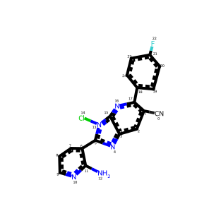 N#Cc1cc2nc(-c3cccnc3N)n(Cl)c2nc1-c1ccc(F)cc1